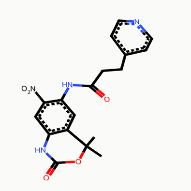 CC1(C)OC(=O)Nc2cc([N+](=O)[O-])c(NC(=O)CCc3ccncc3)cc21